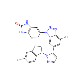 O=c1[nH]c2ccc(-n3nnc4c(Cl)cc(-c5ccnn5C5CCc6cc(Cl)ccc65)cc43)cc2[nH]1